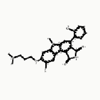 CN(C)CCCOc1cc2c(cc1F)c1c3c(c(-c4ccccc4Cl)cc1n2C)C(=O)NC3=O